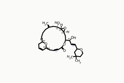 C=C1CCC[C@@H]2CC=C[C@@H](C/C=C\C(=O)OC([C@@H](O)/C=C/C3CC(C)(C)CCO3)C[C@@H]3O[C@H]3[C@@H](O)C1)O2